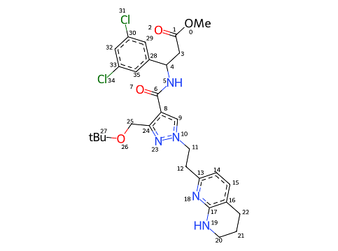 COC(=O)CC(NC(=O)c1cn(CCc2ccc3c(n2)NCCC3)nc1COC(C)(C)C)c1cc(Cl)cc(Cl)c1